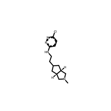 CN1C[C@H]2CC(CCNc3ccc(Cl)nn3)C[C@H]2C1